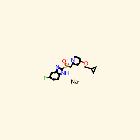 [Na].[O-][S+](Cc1cc(OCC2CC2)ccn1)c1nc2cc(F)ccc2[nH]1